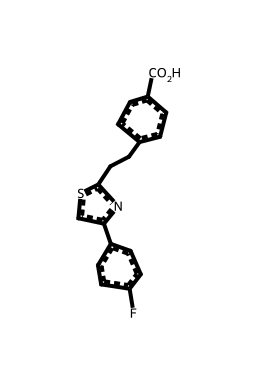 O=C(O)c1ccc(CCc2nc(-c3ccc(F)cc3)cs2)cc1